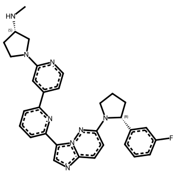 CN[C@H]1CCN(c2cc(-c3cccc(-c4cnc5ccc(N6CCC[C@@H]6c6cccc(F)c6)nn45)n3)ccn2)C1